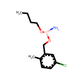 CCCCOB(N)OCc1cc(Cl)ccc1C